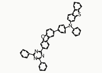 c1ccc(-c2nc(-c3ccccc3)nc(-c3ccc4c(c3)oc3ccc(-c5ccc(N(c6ccccc6)c6ccc7c(c6)sc6ccccc67)cc5)cc34)n2)cc1